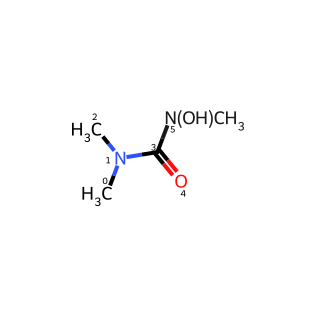 CN(C)C(=O)N(C)O